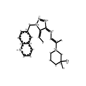 CC=C1/C(=N\C=C(/C)N2CCCC(C)(CC)C2)N=NN1Cc1ccc2ncccc2c1